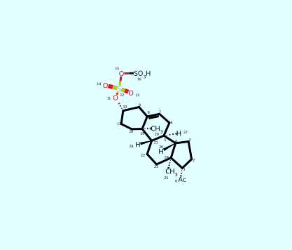 CC(=O)[C@H]1CC[C@H]2[C@@H]3CC=C4C[C@@H](OS(=O)(=O)OS(=O)(=O)O)CC[C@]4(C)[C@H]3CC[C@]12C